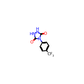 O=c1[nH][nH]c(=O)n1-c1ccc(C(F)(F)F)cc1